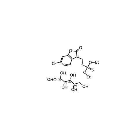 CCOP(=S)(OCC)SCn1c(=O)oc2cc(Cl)ccc21.O=C[C@H](O)[C@@H](O)[C@H](O)[C@H](O)CO